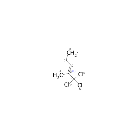 [CH2]C/C=C(\C)C(Cl)(Cl)Cl